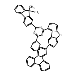 CC1(C)c2ccccc2-c2ccc(-c3nc(-c4ccccc4)nc(-c4cccc5oc6ccc(-c7ccc8c9ccccc9c9ccccc9c8c7)cc6c45)n3)cc21